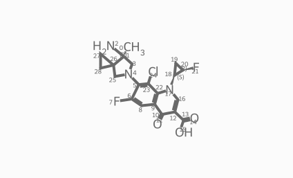 C[C@]1(N)CN(c2c(F)cc3c(=O)c(C(=O)O)cn([C@H]4C[C@H]4F)c3c2Cl)CC12CC2